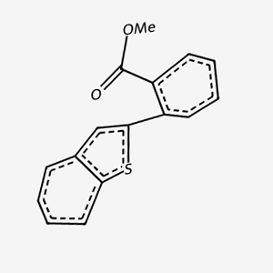 COC(=O)c1ccccc1-c1cc2ccccc2s1